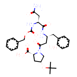 CC(C)(C)O[C@@H]1C[C@@H](C(=O)O)N(C(=O)[C@@H](O)[C@H](Cc2ccccc2)NC(=O)[C@H](CC(N)=O)NC(=O)OCc2ccccc2)C1